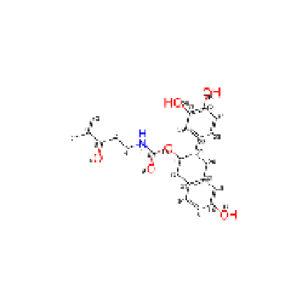 C=C(C)C(=O)CCNC(=O)OC1Cc2ccc(O)cc2CC1c1ccc(O)c(O)c1